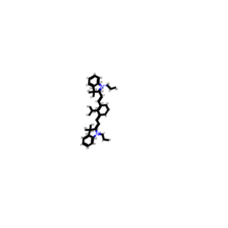 CCCN1/C(=C/C=C2\CCCC(/C=C/C3=[N+](CCC)c4ccccc4C3(C)C)=C2C(C)C)C(C)(C)c2ccccc21